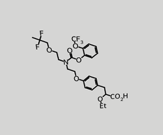 CCOC(Cc1ccc(OCCN(CCOCC(C)(F)F)C(=O)Oc2ccccc2OC(F)(F)F)cc1)C(=O)O